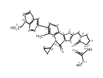 Cc1c(-c2cnc3c(cnn3C(=O)O)c2)ccc2c3oc(CN4CC[C@H](NC(=O)OC(C)(C)C)C4=O)nc3c(=O)n(C3CC3)c12